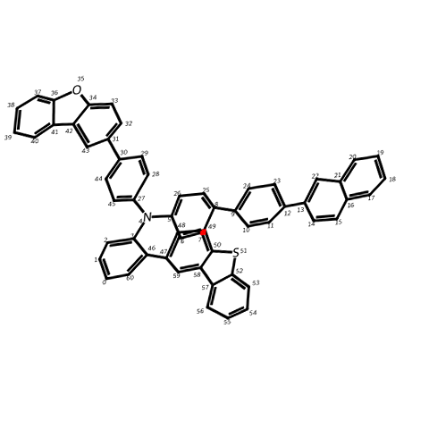 c1ccc(N(c2ccc(-c3ccc(-c4ccc5ccccc5c4)cc3)cc2)c2ccc(-c3ccc4oc5ccccc5c4c3)cc2)c(-c2ccc3sc4ccccc4c3c2)c1